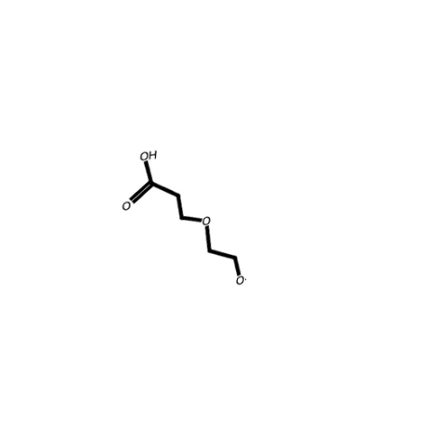 [O]CCOCCC(=O)O